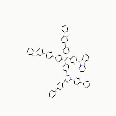 c1ccc(-c2ccc(-c3nc(-c4ccc(/C(=C(/c5ccc(-c6ccc7c(c6)sc6ccccc67)cc5)c5ccc(-n6c7ccccc7c7ccccc76)cc5)c5ccc(-c6ccc(-c7ccc8c(c7)sc7ccccc78)cc6)cc5)cc4)nc(-c4ccc(-c5ccccc5)cc4)n3)cc2)cc1